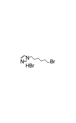 Br.BrCCCCCCn1ccnc1